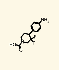 Nc1ccc(C2CCN(C(=O)O)CC2(F)F)cc1